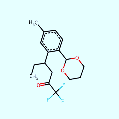 CCC(CC(=O)C(F)(F)F)c1cc(C)ccc1C1OCCCO1